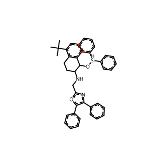 CC(C)(C)c1cccc2c1CCC(NCc1nc(-c3ccccc3)c(-c3ccccc3)o1)C2O[SiH](c1ccccc1)c1ccccc1